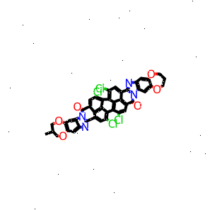 CC1COc2cc3nc4c5cc(Cl)c6c7c(Cl)cc8c(=O)n9c%10cc%11c(cc%10nc9c9cc(Cl)c(c%10c(Cl)cc(c(=O)n4c3cc2OC1)c5c%106)c7c89)OCCCO%11